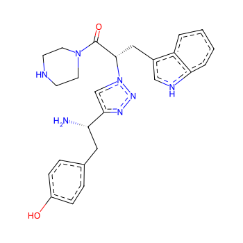 N[C@@H](Cc1ccc(O)cc1)c1cn([C@@H](Cc2c[nH]c3ccccc23)C(=O)N2CCNCC2)nn1